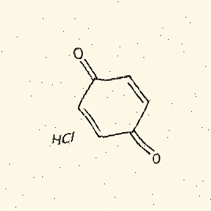 Cl.O=C1C=CC(=O)C=C1